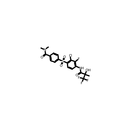 CN(C)C(=O)c1ccc(S(=O)(=O)c2ccc(NC(=O)C(C)(O)C(F)(F)F)c(F)c2Cl)cc1